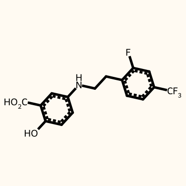 O=C(O)c1cc(NCCc2ccc(C(F)(F)F)cc2F)ccc1O